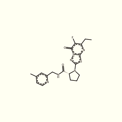 CCc1nc2sc(N3CCC[C@@H]3C(=O)NCc3cc(C)ccn3)nn2c(=O)c1F